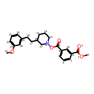 COC(=O)c1cccc(C(=O)ON2CCCC(CCc3cccc(OC)c3)C2)c1